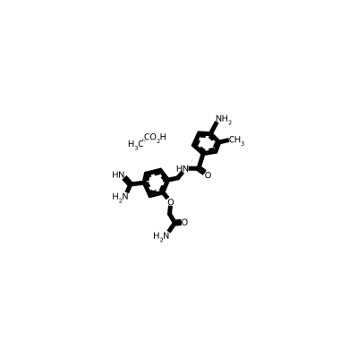 CC(=O)O.Cc1cc(C(=O)NCc2ccc(C(=N)N)cc2OCC(N)=O)ccc1N